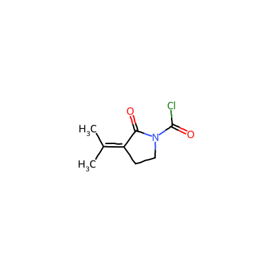 CC(C)=C1CCN(C(=O)Cl)C1=O